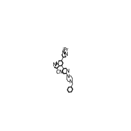 CC(C)n1cc(-c2cc(-c3ccc(N4CCN(Cc5ccccc5)CC4)nc3)c3c(C#N)cnn3c2)cn1